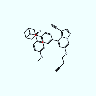 C#CCCOc1cc(-c2ccc(N3CC4CC(C3)N4C(=O)c3ccc(OC)nc3)nc2)c2c(C#N)cnn2c1